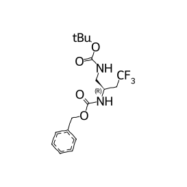 CC(C)(C)OC(=O)NC[C@@H](CC(F)(F)F)NC(=O)OCc1ccccc1